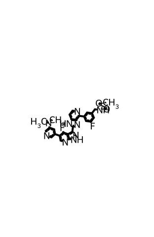 CN(C)c1cncc(-c2cnc3[nH]nc(-c4nc5c(-c6cc(F)cc(CNS(C)(=O)=O)c6)nccc5[nH]4)c3c2F)c1